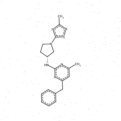 Cc1cc(Cc2ccccc2)nc(N[C@@H]2CCN(c3nc(C)ns3)C2)n1